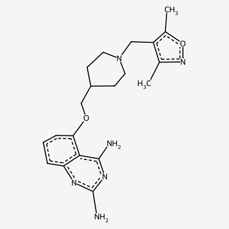 Cc1noc(C)c1CN1CCC(COc2cccc3nc(N)nc(N)c23)CC1